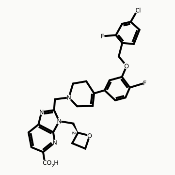 O=C(O)c1ccc2nc(CN3CC=C(c4ccc(F)c(OCc5ccc(Cl)cc5F)c4)CC3)n(C[C@@H]3CCO3)c2n1